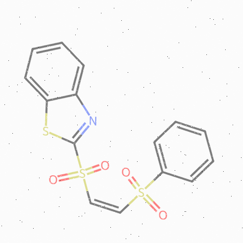 O=S(=O)(/C=C\S(=O)(=O)c1nc2ccccc2s1)c1ccccc1